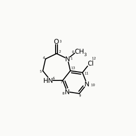 CN1C(=O)CCNc2ncnc(Cl)c21